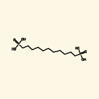 O=P(O)(O)CCCCCCCCCCCP(=O)(O)O